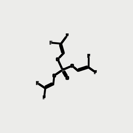 O=P(OC=C(F)F)(OC=C(F)F)OC=C(F)F